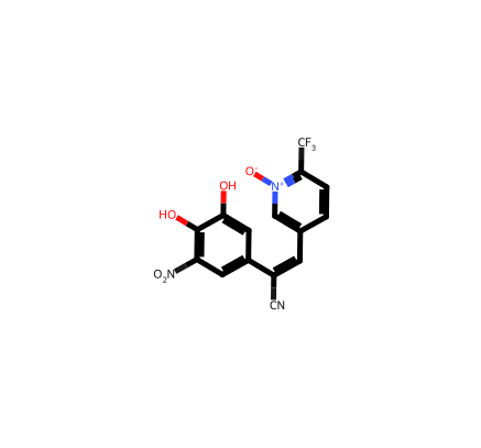 N#C/C(=C/c1ccc(C(F)(F)F)[n+]([O-])c1)c1cc(O)c(O)c([N+](=O)[O-])c1